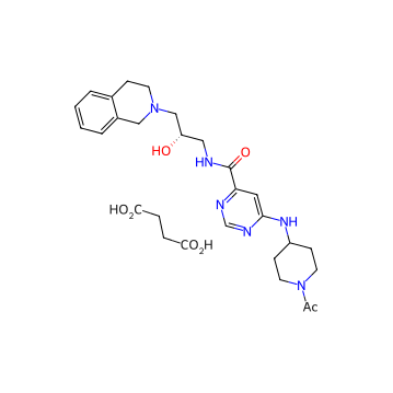 CC(=O)N1CCC(Nc2cc(C(=O)NC[C@H](O)CN3CCc4ccccc4C3)ncn2)CC1.O=C(O)CCC(=O)O